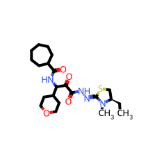 CC[C@@H]1CSC(=NNC(=O)C(=O)C(NC(=O)C2CCCCCC2)C2CCOCC2)N1C